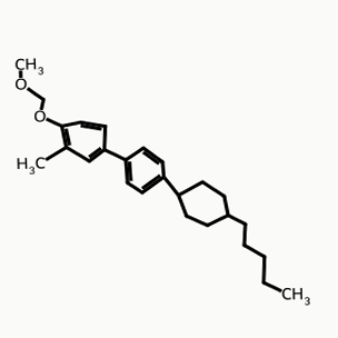 CCCCCC1CCC(c2ccc(-c3ccc(OCOC)c(C)c3)cc2)CC1